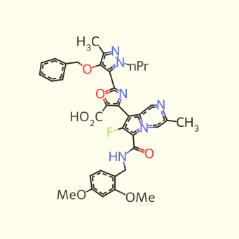 CCCn1nc(C)c(OCc2ccccc2)c1-c1nc(-c2c(F)c(C(=O)NCc3ccc(OC)cc3OC)n3cc(C)ncc23)c(C(=O)O)o1